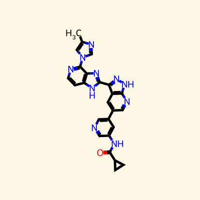 Cc1cn(-c2nccc3[nH]c(-c4n[nH]c5ncc(-c6cncc(NC(=O)C7CC7)c6)cc45)nc23)cn1